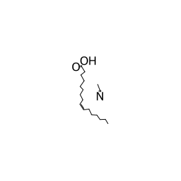 CC#N.CCCCCC/C=C\CCCCCCCC(=O)O